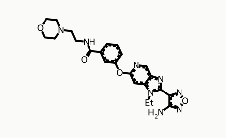 CCn1c(-c2nonc2N)nc2cnc(Oc3cccc(C(=O)NCCN4CCOCC4)c3)cc21